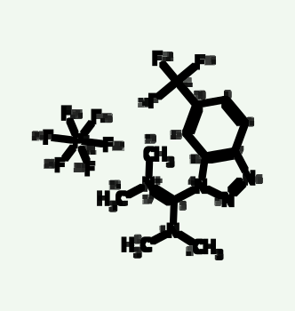 CN(C)C(n1nnc2ccc(C(F)(F)F)cc21)=[N+](C)C.F[P-](F)(F)(F)(F)F